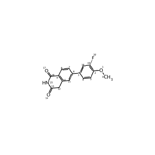 COc1ccc(-c2ccc3c(c2)CC(=O)NC3=O)cc1F